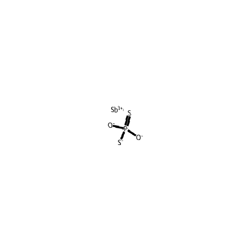 [O-]P([O-])(=S)[S-].[Sb+3]